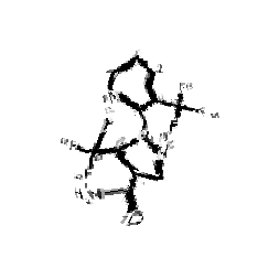 NC(=O)c1cnn(-c2ncccc2C(F)(F)F)c1C(F)(F)F